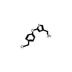 CC(C)Cc1csc(Oc2ccc(CCl)cc2)c1